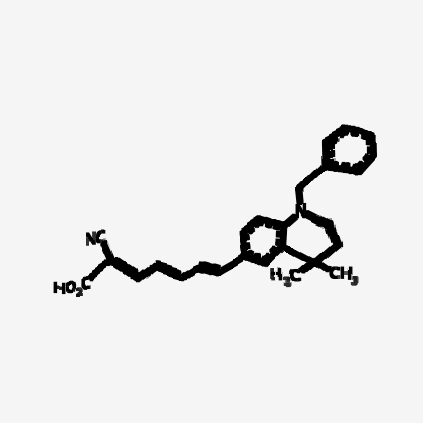 CC1(C)CCN(Cc2ccccc2)c2ccc(/C=C/C=C/C=C(\C#N)C(=O)O)cc21